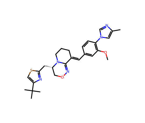 COc1cc(/C=C2\CCCN3C2=NOC[C@@H]3Cc2nc(C(C)(C)C)cs2)ccc1-n1cnc(C)c1